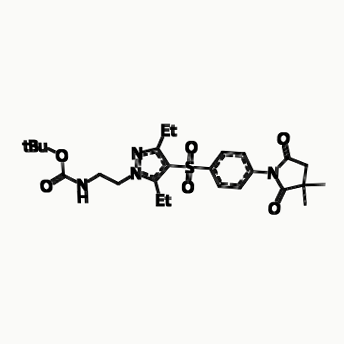 CCc1nn(CCNC(=O)OC(C)(C)C)c(CC)c1S(=O)(=O)c1ccc(N2C(=O)CC(C)(C)C2=O)cc1